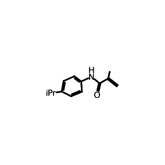 C=C(C)C(=O)Nc1ccc(C(C)C)cc1